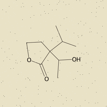 CC(C)C1(C(C)O)CCOC1=O